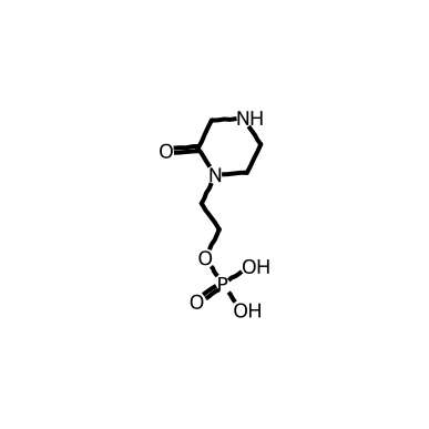 O=C1CNCCN1CCOP(=O)(O)O